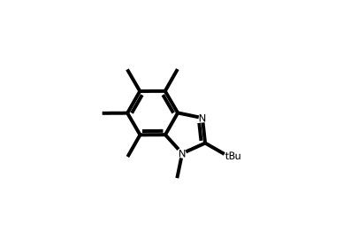 Cc1c(C)c(C)c2c(nc(C(C)(C)C)n2C)c1C